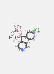 CCCC(=O)OC(C)(c1ccncc1)c1ccncc1.Cl.Cl